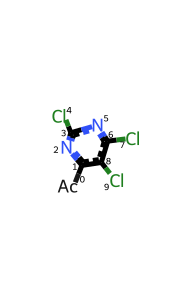 CC(=O)c1nc(Cl)nc(Cl)c1Cl